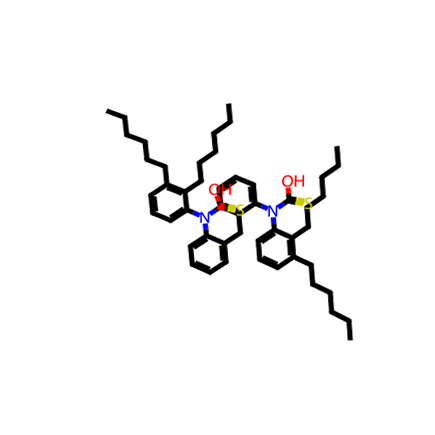 CCCCCCc1cccc(N(C(O)=S)c2ccccc2Cc2ccccc2N(C(O)=S)c2cccc(CCCCCC)c2CCCCCC)c1CCCCCC